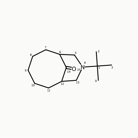 CC(C)(C)N1CC2CCCCCC(C1)C2=O